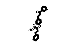 O=C(/C=C/c1ccc(OC(CCc2ccccc2)C(=O)O)cc1)c1ccccc1